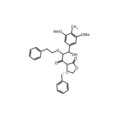 COc1cc(C(O)C(OCCc2ccccc2)C(=O)N2C(=O)OC[C@@H]2Cc2ccccc2)cc(OC)c1C